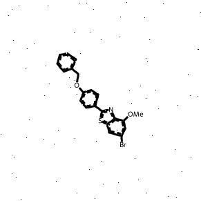 COc1cc(Br)cc2sc(-c3ccc(OCc4ccccc4)cc3)nc12